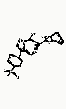 CS(=O)(=O)c1ccc(-c2cnn3c(O)c(-c4nc5ccccc5[nH]4)nnc23)cc1